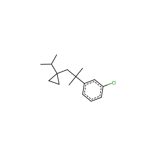 CC(C)C1(CC(C)(C)c2cccc(Cl)c2)CC1